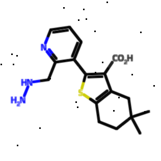 CC1(C)CCc2sc(-c3cccnc3CNN)c(C(=O)O)c2C1